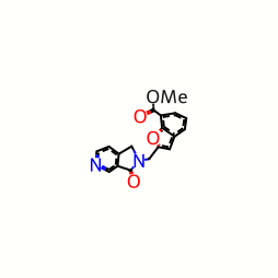 COC(=O)c1cccc2cc(CN3Cc4ccncc4C3=O)oc12